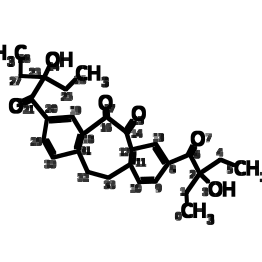 CCC(O)(CC)C(=O)c1ccc2c(c1)C(=O)C(=O)c1cc(C(=O)C(O)(CC)CC)ccc1CC2